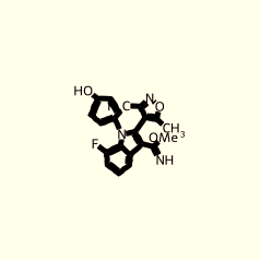 COC(=N)c1c(-c2c(C)noc2C)n(-c2ccc(O)cc2)c2c(F)cccc12